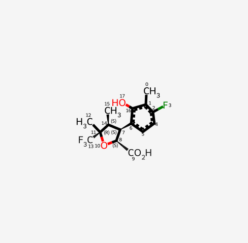 Cc1c(F)ccc([C@H]2[C@@H](C(=O)O)O[C@@](C)(C(F)(F)F)[C@H]2C)c1O